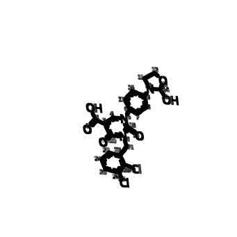 O=C(O)c1cn(-c2ccc(N3CCOC3O)cc2)c(=O)n(Cc2cccc(Cl)c2Cl)c1=O